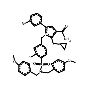 COc1ccc(CN(Cc2ccc(OC)cc2)S(=O)(=O)c2ccc(Cn3c(-c4cccc(Br)c4)cc(C(N)=O)c3CC3CC3)cc2F)cc1